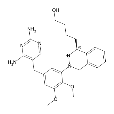 COc1cc(Cc2cnc(N)nc2N)cc(N2Cc3ccccc3[C@H](CCCCO)[N]2)c1OC